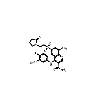 COc1cc(Nc2c(C(N)=O)cnc3c(C)cc(S(=O)(=O)CCN4CCCC4=O)cc23)ccc1F